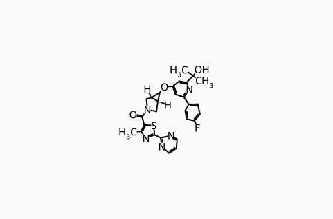 Cc1nc(-c2ncccn2)sc1C(=O)N1C[C@@H]2C(Oc3cc(-c4ccc(F)cc4)nc(C(C)(C)O)c3)[C@@H]2C1